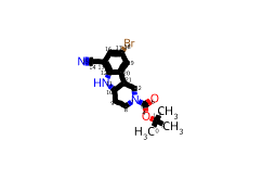 CC(C)(C)OC(=O)N1CCC2Nc3c(C#N)cc(Br)cc3C2C1